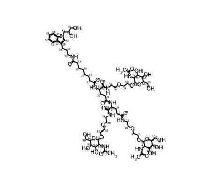 CC(=O)NC1C(OCCOCCNC(=O)CCC(NC(=O)CCC(NC(=O)CCCCCCC(=O)NCCCc2cn(C[C@H](O)CO)c3ccccc23)C(=O)NCCOCCOC2OC(CO)C(O)C(O)C2NC(C)=O)C(=O)NCCOCCOC2OC(CO)C(O)C(O)C2NC(C)=O)OC(CO)C(O)C1O